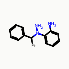 CCC(c1ccccc1)N(N)c1ccccc1N